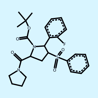 CC(C)(C)OC(=O)N1C(C(=O)N2CCCC2)CC(S(=O)(=O)c2ccccc2)C1c1ccccc1F